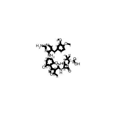 COc1ccc(Cc2cnc(N)nc2N)cc1OC.Cc1onc(-c2c(Cl)cccc2Cl)c1C(=O)N[C@@H]1C(=O)N2[C@@H]1SC(C)(C)[C@@H]2C(=O)O